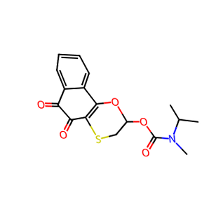 CC(C)N(C)C(=O)OC1CSC2=C(O1)c1ccccc1C(=O)C2=O